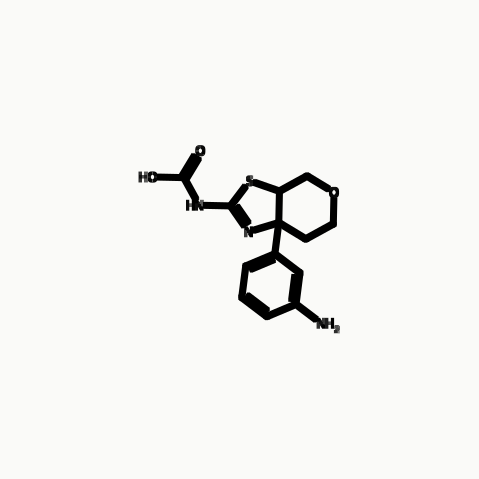 Nc1cccc(C23CCOCC2SC(NC(=O)O)=N3)c1